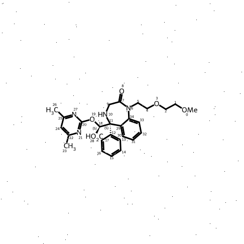 COCCOCCN1C(=O)CN[C@](c2ccccc2)([C@H](Oc2nc(C)cc(C)n2)C(=O)O)c2ccccc21